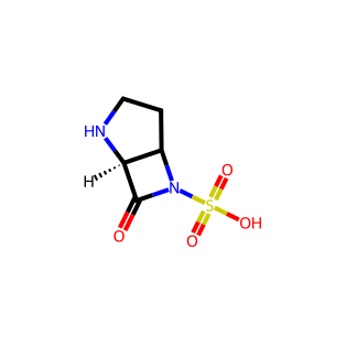 O=C1[C@H]2NCCC2N1S(=O)(=O)O